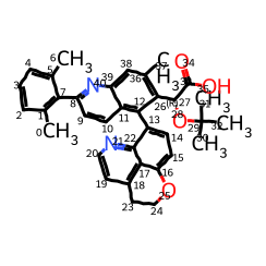 Cc1cccc(C)c1-c1ccc2c(-c3ccc4c5c(ccnc35)CCO4)c([C@@H](OC(C)(C)C)C(=O)O)c(C)cc2n1